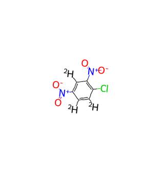 [2H]c1c([2H])c([N+](=O)[O-])c([2H])c([N+](=O)[O-])c1Cl